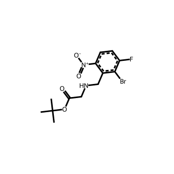 CC(C)(C)OC(=O)CNCc1c([N+](=O)[O-])ccc(F)c1Br